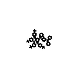 CC(C)(C)c1ccc(N2c3ccc(C(C)(C)C)cc3B3c4cc(C(C)(C)C)ccc4N(c4ccc(C(C)(C)C)cc4)c4cc(N5c6ccc(N(c7ccccc7)c7ccccc7)cc6C6(C)CCCCC56C)cc2c43)cc1